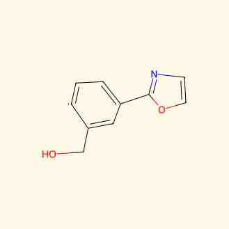 OCc1[c]ccc(-c2ncco2)c1